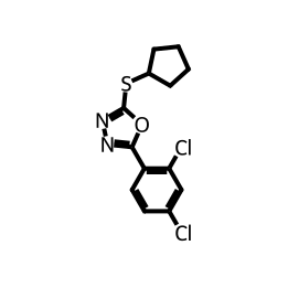 Clc1ccc(-c2nnc(SC3CCCC3)o2)c(Cl)c1